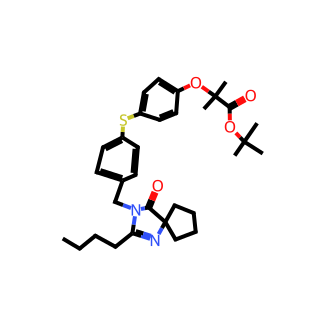 CCCCC1=NC2(CCCC2)C(=O)N1Cc1ccc(Sc2ccc(OC(C)(C)C(=O)OC(C)(C)C)cc2)cc1